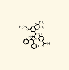 CCOc1cc(OC(C)C)c(F)c(C(Nc2ccc(C(=N)N)cc2)c2nc(-c3ccccc3)c(-c3ccccc3)[nH]2)c1